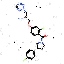 N[C@@H](COc1ccc(C(=O)N2CC[C@H](c3ccc(F)cc3)C2)c(F)c1)Cn1ncnn1